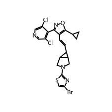 Clc1cncc(Cl)c1-c1noc(C2CC2)c1C=CC1C2CN(c3nc(Br)cs3)CC12